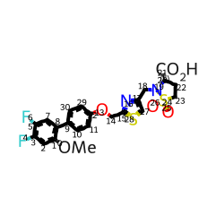 COc1cc(F)c(F)cc1-c1ccc(OCc2nc(CN3[C@H](C(=O)O)CCS3(=O)=O)cs2)cc1